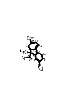 OC1(C(F)F)c2cc(Cl)ccc2-c2ccc(Cl)cc21